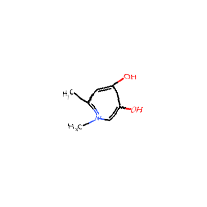 Cc1cc(O)c(O)c[n+]1C